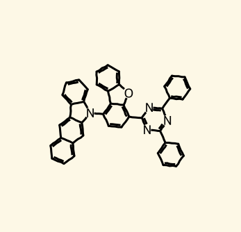 c1ccc(-c2nc(-c3ccccc3)nc(-c3ccc(-n4c5ccccc5c5cc6ccccc6cc54)c4c3oc3ccccc34)n2)cc1